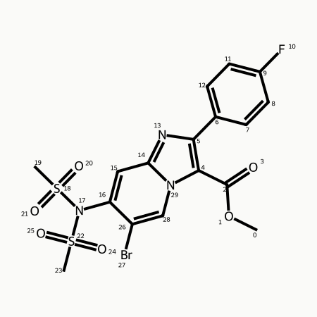 COC(=O)c1c(-c2ccc(F)cc2)nc2cc(N(S(C)(=O)=O)S(C)(=O)=O)c(Br)cn12